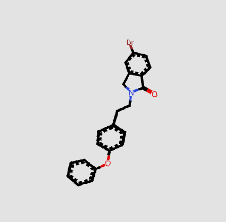 O=C1c2ccc(Br)cc2CN1CCc1ccc(Oc2ccccc2)cc1